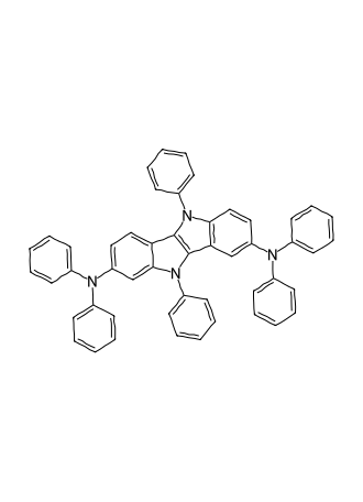 c1ccc(N(c2ccccc2)c2ccc3c(c2)c2c(c4ccc(N(c5ccccc5)c5ccccc5)cc4n2-c2ccccc2)n3-c2ccccc2)cc1